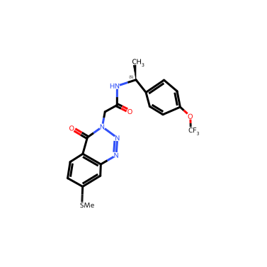 CSc1ccc2c(=O)n(CC(=O)N[C@@H](C)c3ccc(OC(F)(F)F)cc3)nnc2c1